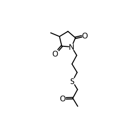 CC(=O)CSCCCN1C(=O)CC(C)C1=O